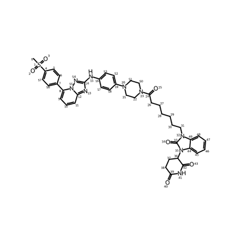 CS(=O)(=O)c1ccc(-c2cccc3nc(Nc4ccc(N5CCN(C(=O)CCCCCCn6c(=O)n(C7CCC(=O)NC7=O)c7ccccc76)CC5)cc4)nn23)cc1